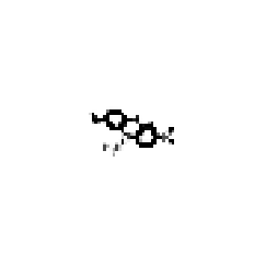 CCc1ccc2c(c1)N(N)c1ccc(N(C)C)cc1S2